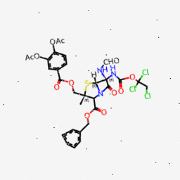 CC(=O)Oc1ccc(C(=O)OC[C@]2(C)S[C@H]3N(C(=O)[C@@]3(NC=O)NC(=O)OC(Cl)(Cl)CCl)C2C(=O)OCc2ccccc2)cc1OC(C)=O